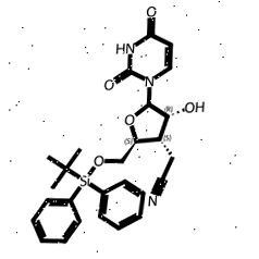 CC(C)(C)[Si](OC[C@H]1OC(n2ccc(=O)[nH]c2=O)[C@H](O)[C@@H]1CC#N)(c1ccccc1)c1ccccc1